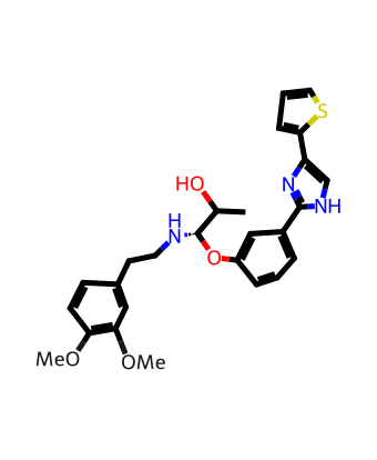 COc1ccc(CCN[C@@H](Oc2cccc(-c3nc(-c4cccs4)c[nH]3)c2)C(C)O)cc1OC